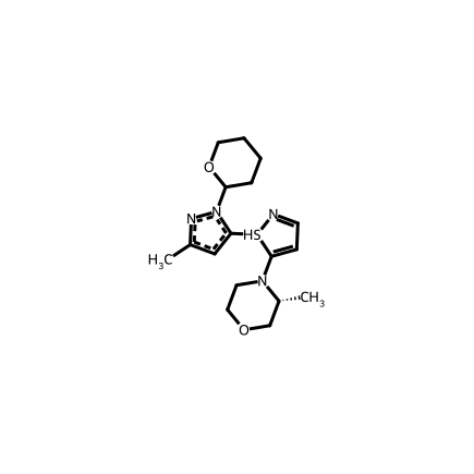 Cc1cc([SH]2N=CC=C2N2CCOC[C@H]2C)n(C2CCCCO2)n1